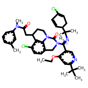 CCOc1cc(C(C)(C)C)ncc1/C(=N/C(C)(C)C1C=CC(Cl)=CC1)N(Cc1ccc(Cl)cc1)C(=O)N1CCC(CC(=O)N(C)c2cccc(C)c2)CC1